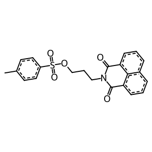 Cc1ccc(S(=O)(=O)OCCCN2C(=O)c3cccc4cccc(c34)C2=O)cc1